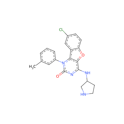 Cc1cccc(-n2c(=O)nc(NC3CCNC3)c3oc4ccc(Cl)cc4c32)c1